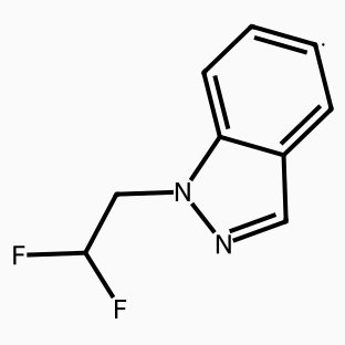 FC(F)Cn1ncc2c[c]ccc21